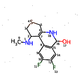 CNC1CSCC2=C1c1cc(F)c(F)cc1C(O)N2